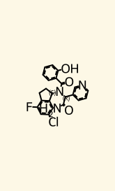 NC(=O)[C@@H](c1cccnc1)N(C(=O)c1ccccc1O)[C@H]1CCc2c(F)cc(Cl)cc21